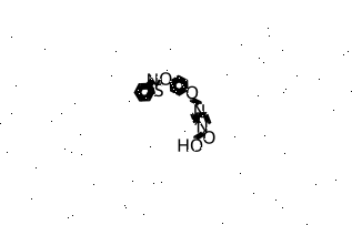 O=C(CO)N1CC2CC1CN2CCOc1ccc(Oc2nc3ccccc3s2)cc1